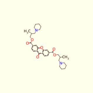 CC(COC(=O)c1ccc2c(=O)c3ccc(C(=O)OCC(C)CN4CCCCC4)cc3oc2c1)CN1CCCCC1